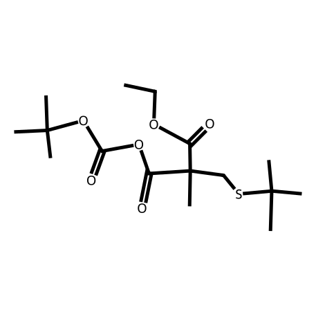 CCOC(=O)C(C)(CSC(C)(C)C)C(=O)OC(=O)OC(C)(C)C